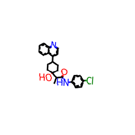 CC(C(=O)Nc1ccc(Cl)cc1)C1(O)CCC(c2ccnc3ccccc23)CC1